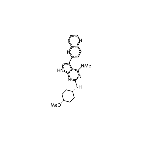 CNc1nc(N[C@H]2CC[C@@H](OC)CC2)nc2[nH]cc(-c3ccc4ncccc4n3)c12